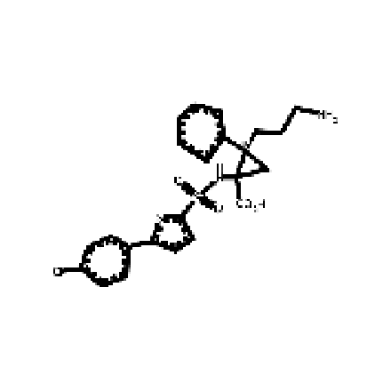 NCCC[C@@]1(c2ccccc2)CC1(NS(=O)(=O)c1ccc(-c2ccc(Cl)cc2)s1)C(=O)O